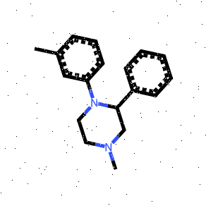 Cc1cccc(N2CCN(C)CC2c2ccccc2)c1